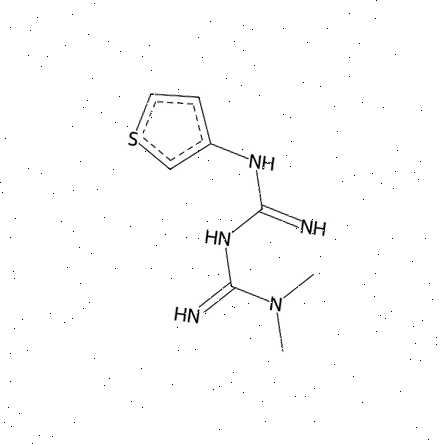 CN(C)C(=N)NC(=N)Nc1ccsc1